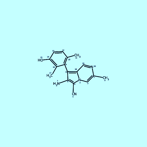 Cc1cn2c(C#N)c(N)c(-c3c(C)ccc(O)c3C)c2cn1